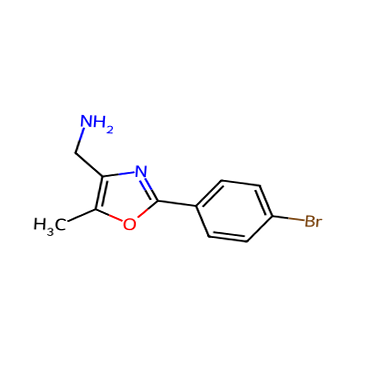 Cc1oc(-c2ccc(Br)cc2)nc1CN